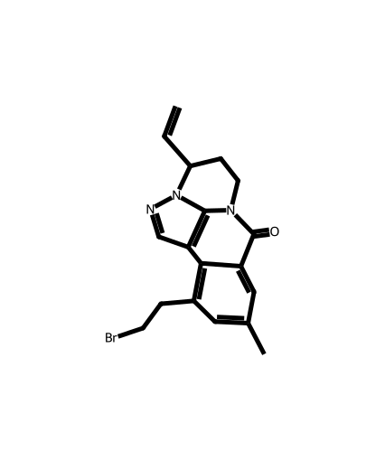 C=CC1CCn2c(=O)c3cc(C)cc(CCBr)c3c3cnn1c32